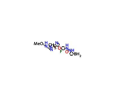 Bc1cccc(NC(=O)Nc2ccc(Oc3ccnc4cc(-c5ncc(CNCCOC)n5C)sc34)c(F)c2)c1